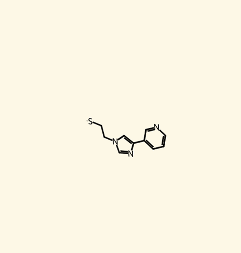 [S]CCn1cnc(-c2cccnc2)c1